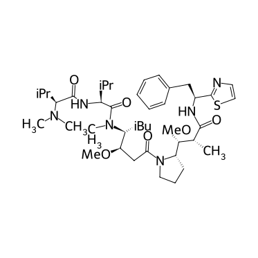 CC[C@@H](C)[C@@H]([C@@H](CC(=O)N1CCC[C@H]1[C@H](OC)[C@@H](C)C(=O)N[C@@H](Cc1ccccc1)c1nccs1)OC)N(C)C(=O)[C@@H](NC(=O)[C@H](C(C)C)N(C)C)C(C)C